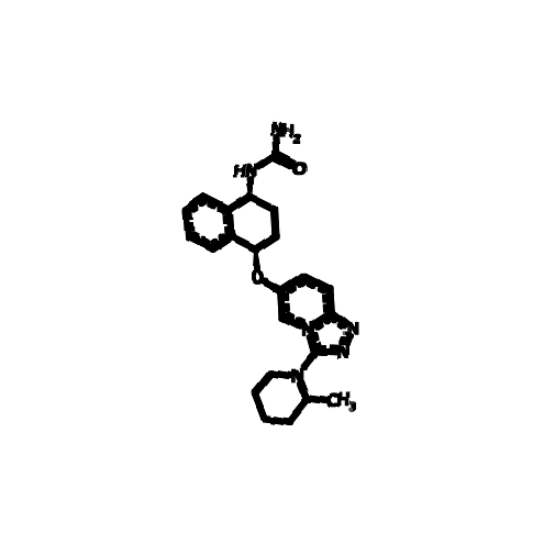 CC1CCCCN1c1nnc2ccc(O[C@@H]3CC[C@H](NC(N)=O)c4ccccc43)cn12